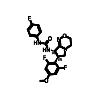 COc1cc(F)c([C@@H]2CN3CCON=C3[C@H]2NC(=O)Nc2ccc(F)cc2)c(F)c1